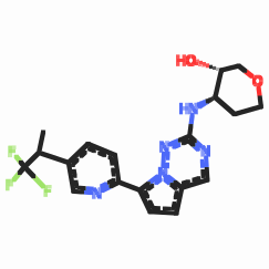 CC(c1ccc(-c2ccc3cnc(N[C@@H]4CCOC[C@H]4O)nn23)nc1)C(F)(F)F